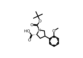 COc1ccccc1C1C[C@H](C(=O)O)N(C(=O)OC(C)(C)C)C1